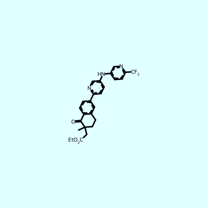 CCOC(=O)CC1(C)CCc2cc(-c3ccc(Nc4ccc(C(F)(F)F)nc4)cn3)ccc2C1=O